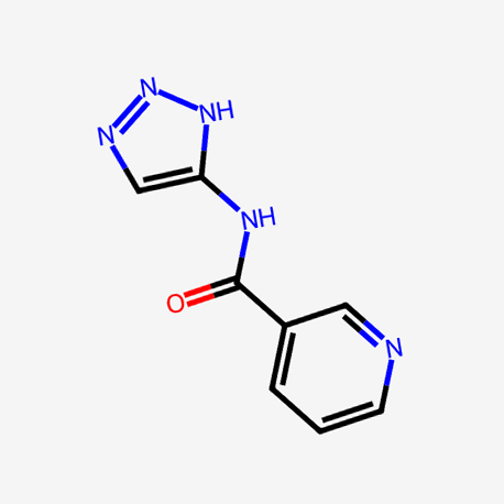 O=C(Nc1cnn[nH]1)c1cccnc1